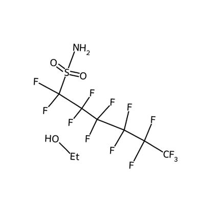 CCO.NS(=O)(=O)C(F)(F)C(F)(F)C(F)(F)C(F)(F)C(F)(F)C(F)(F)F